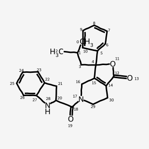 CC(C)CC1(c2ccccc2)OC(=O)C2=C1CN(C(=O)C1Cc3ccccc3N1)CC2